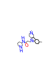 Cc1ccc2c(c1)c1c(n2CCC(=O)NC2CCCNC2)CCN(C)C1